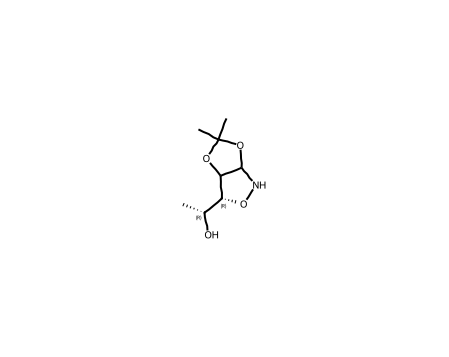 C[C@@H](O)[C@H]1ONC2OC(C)(C)OC21